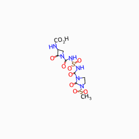 CS(=O)(=O)N1CCN(C(=O)NS(=O)(=O)NC(=O)N2C[C@H](NC(=O)O)C2=O)C1=O